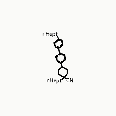 CCCCCCCc1ccc(-c2ccc(C3CCC(C#N)(CCCCCCC)CC3)cc2)cc1